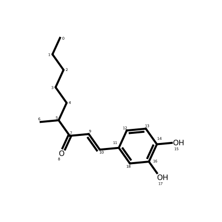 CCCCCC(C)C(=O)/C=C/c1ccc(O)c(O)c1